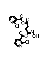 O=C(CC/C(=N/O)OC(=O)c1cccnc1Cl)OC(=O)c1cccnc1Cl